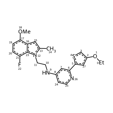 CCOc1csc(-c2cc(NCCn3c(C)cc4c(OC)ccc(F)c43)ccn2)c1